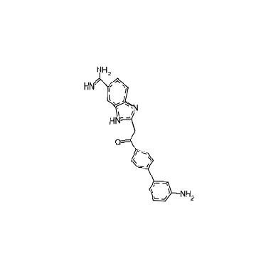 N=C(N)c1ccc2nc(CC(=O)c3ccc(-c4cccc(N)c4)cc3)[nH]c2c1